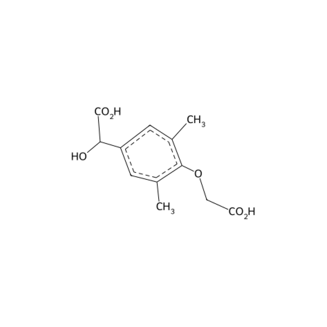 Cc1cc(C(O)C(=O)O)cc(C)c1OCC(=O)O